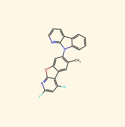 Cc1cc2c(cc1-n1c3ccccc3c3cccnc31)oc1nc(F)cc(F)c12